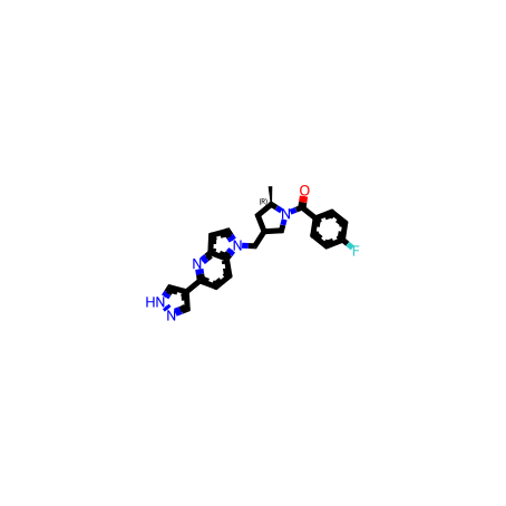 C[C@@H]1CC(Cn2ccc3nc(-c4cn[nH]c4)ccc32)CN1C(=O)c1ccc(F)cc1